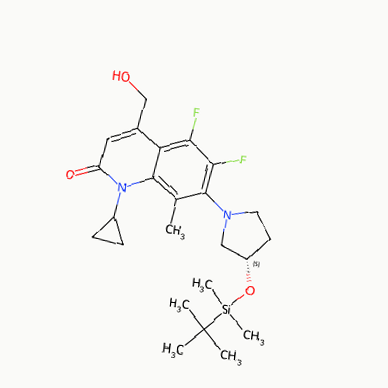 Cc1c(N2CC[C@H](O[Si](C)(C)C(C)(C)C)C2)c(F)c(F)c2c(CO)cc(=O)n(C3CC3)c12